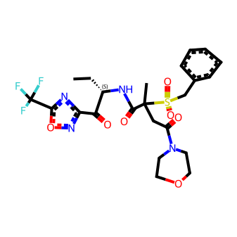 CC[C@H](NC(=O)C(C)(CC(=O)N1CCOCC1)S(=O)(=O)Cc1ccccc1)C(=O)c1noc(C(F)(F)F)n1